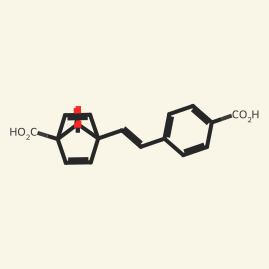 O=C(O)c1ccc(C=CC23C=CC(C(=O)O)(C=C2)C32CCCCC2)cc1